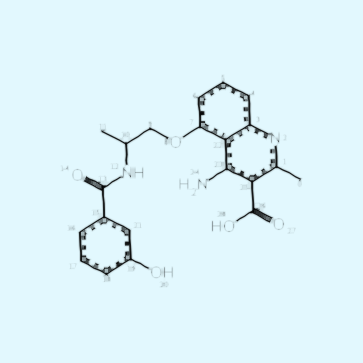 Cc1nc2cccc(OCC(C)NC(=O)c3cccc(O)c3)c2c(N)c1C(=O)O